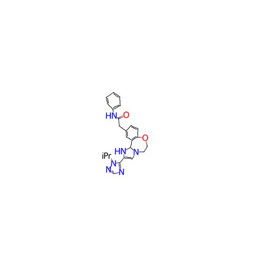 CC(C)n1ncnc1C1=CN2CCOc3ccc(CC(=O)Nc4ccccc4)cc3C2N1